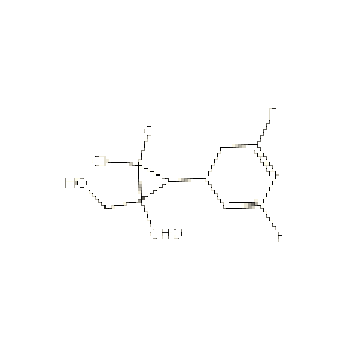 O=CC1(CO)C(C2C=C(F)C=C(F)C2)C1(Cl)Cl